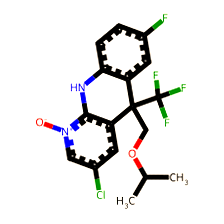 CC(C)OCC1(C(F)(F)F)c2cc(F)ccc2Nc2c1cc(Cl)c[n+]2[O-]